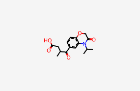 CC(CC(=O)O)C(=O)c1ccc2c(c1)N(C(C)C)C(=O)CO2